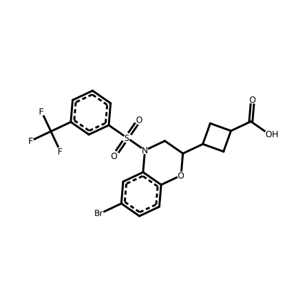 O=C(O)C1CC(C2CN(S(=O)(=O)c3cccc(C(F)(F)F)c3)c3cc(Br)ccc3O2)C1